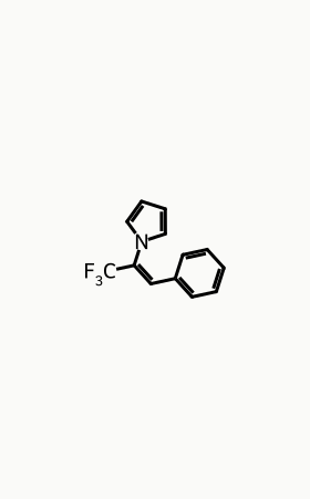 FC(F)(F)C(=Cc1ccccc1)n1cccc1